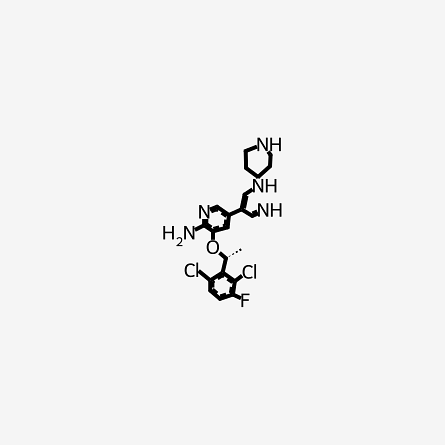 C[C@@H](Oc1cc(/C(C=N)=C/NC2CCNCC2)cnc1N)c1c(Cl)ccc(F)c1Cl